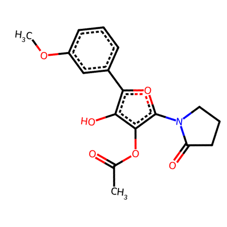 COc1cccc(-c2oc(N3CCCC3=O)c(OC(C)=O)c2O)c1